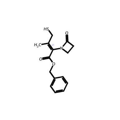 C/C(CS)=C(\C(=O)OCc1ccccc1)N1CCC1=O